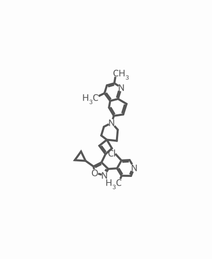 Cc1cc(C)c2cc(N3CCC4(C=C(c5c(-c6c(C)cncc6Cl)noc5C5CC5)C4)CC3)ccc2n1